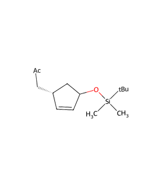 CC(=O)C[C@H]1C=CC(O[Si](C)(C)C(C)(C)C)C1